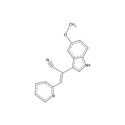 COc1ccc2[nH]cc(C(C#N)=Cc3ccccn3)c2c1